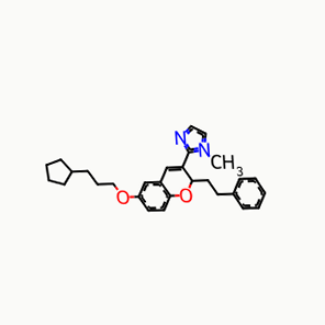 Cn1ccnc1C1=Cc2cc(OCCCC3CCCC3)ccc2OC1CCc1ccccc1